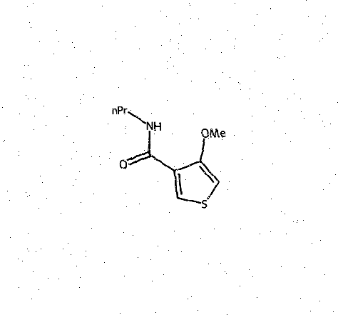 CCCNC(=O)c1cscc1OC